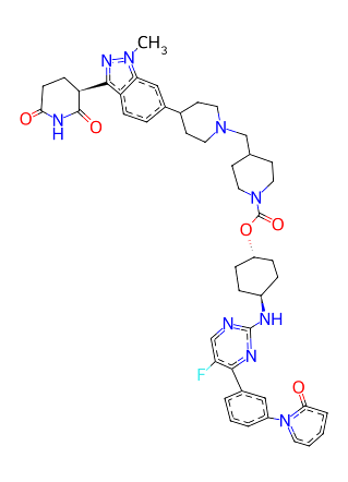 Cn1nc([C@@H]2CCC(=O)NC2=O)c2ccc(C3CCN(CC4CCN(C(=O)O[C@H]5CC[C@H](Nc6ncc(F)c(-c7cccc(-n8ccccc8=O)c7)n6)CC5)CC4)CC3)cc21